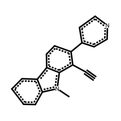 C#Cc1c(-c2ccncc2)ccc2c3ccccc3n(C)c12